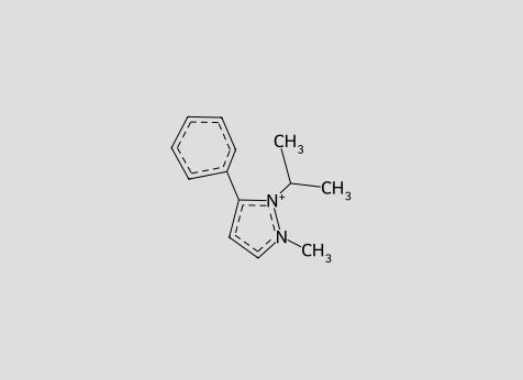 CC(C)[n+]1c(-c2ccccc2)ccn1C